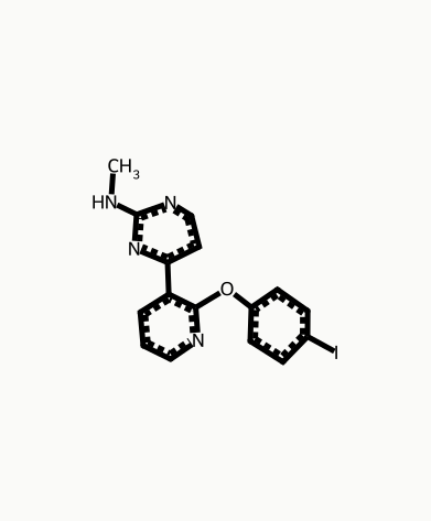 CNc1nccc(-c2cccnc2Oc2ccc(I)cc2)n1